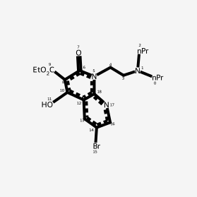 CCCN(CCC)CCn1c(=O)c(C(=O)OCC)c(O)c2cc(Br)cnc21